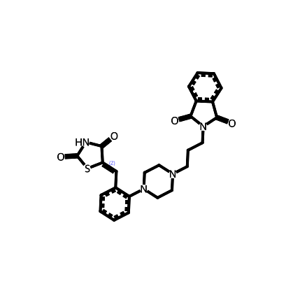 O=C1NC(=O)/C(=C/c2ccccc2N2CCN(CCCN3C(=O)c4ccccc4C3=O)CC2)S1